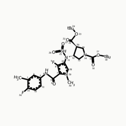 Cc1cc(NC(=O)c2c(F)c(N([C@H]3CN(C(=O)OC(C)(C)C)C[C@@H]3C(=O)OC(C)(C)C)[SH](=O)=O)cn2C)ccc1F